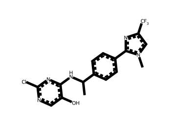 CC(Nc1nc(Cl)ncc1O)c1ccc(-c2nc(C(F)(F)F)cn2C)cc1